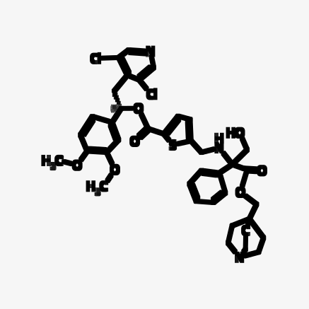 COc1ccc([C@H](Cc2c(Cl)cncc2Cl)OC(=O)c2ccc(CNC(CO)(C(=O)OCC34CCN(CC3)CC4)c3ccccc3)s2)cc1OC